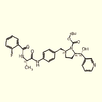 C[C@H](NC(=O)c1ccccc1F)C(=O)Nc1ccc(C[C@@H]2CC[C@H]([C@H](O)c3cccnc3)N2C(=O)OC(C)(C)C)cc1